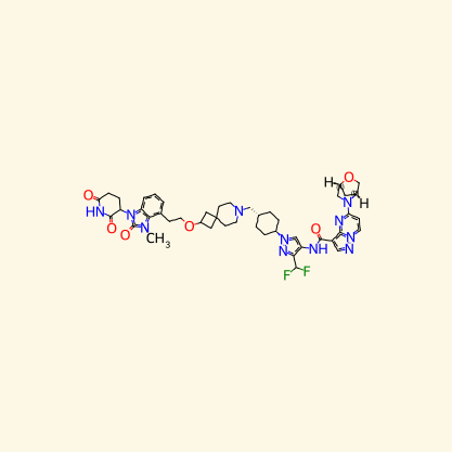 Cn1c(=O)n(C2CCC(=O)NC2=O)c2cccc(CCOC3CC4(CCN(C[C@H]5CC[C@H](n6cc(NC(=O)c7cnn8ccc(N9C[C@H]%10C[C@@H]9CO%10)nc78)c(C(F)F)n6)CC5)CC4)C3)c21